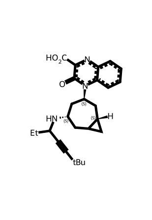 CCC(C#CC(C)(C)C)N[C@H]1CC2C[C@H]2C[C@H](n2c(=O)c(C(=O)O)nc3ccccc32)C1